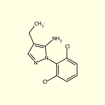 [CH2]Cc1cnn(-c2c(Cl)cccc2Cl)c1N